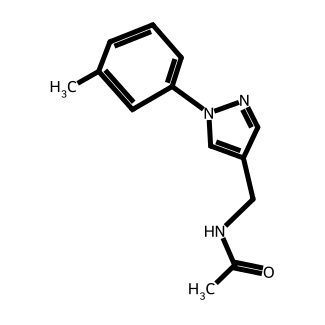 CC(=O)NCc1cnn(-c2cccc(C)c2)c1